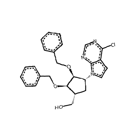 OC[C@H]1C[C@@H](n2ccc3c(Cl)ncnc32)[C@H](OCc2ccccc2)[C@@H]1OCc1ccccc1